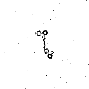 COc1ccccc1N1CCN(CCCCCCOc2ccccc2N2CCN(C)CC2)CC1